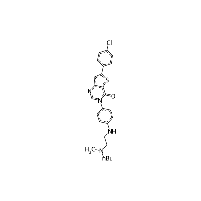 CCCCN(C)CCNc1ccc(-n2cnc3cc(-c4ccc(Cl)cc4)sc3c2=O)cc1